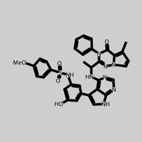 COc1ccc(S(=O)(=O)Nc2cc(O)cc(-c3c[nH]c4ncnc(NC(C)c5nn6ccc(C)c6c(=O)n5-c5ccccc5)c34)c2)cc1